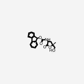 C[C@]1(CO)C[C@H](NC(=O)OC2c3ccccc3-c3ccccc32)C(=O)O1